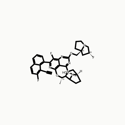 C#Cc1c(F)ccc2cccc(-c3nc4c5c(nc(OC[C@@]67CCCN6C[C@H](F)C7)nc5c3F)N3C[C@H]5CCC(C3[C@H](C)O4)N5C(=O)O)c12